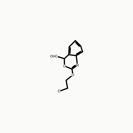 O=CC1OC(OCCCl)=Nc2ccccc21